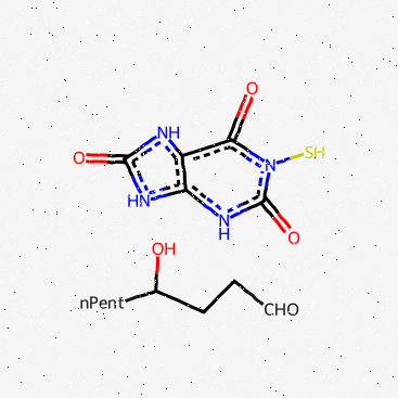 CCCCCC(O)CCC=O.O=c1[nH]c2[nH]c(=O)n(S)c(=O)c2[nH]1